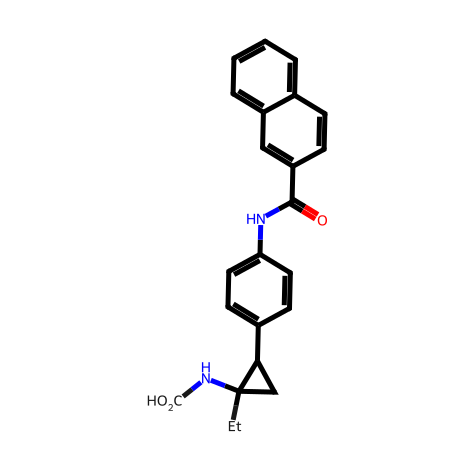 CCC1(NC(=O)O)CC1c1ccc(NC(=O)c2ccc3ccccc3c2)cc1